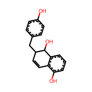 Oc1ccc(CC2C=Cc3c(O)cccc3C2O)cc1